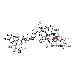 CC[C@H](C)[C@H](C[C@H](O)CC(=O)N[C@H]1C(C)O[C@@H](OC(=O)[C@]23CCC(C)(C)CC2C2=CCC4C5(C)CC[C@H](O[C@@H]6OC[C@@H](O)[C@H](O[C@@H]7OC[C@@H](O)[C@H](O)C7O)C6O[C@@H]6OC(CO)[C@H](O)[C@H](O)C6O)[C@](C)(C=O)[C@@H]5CC[C@]4(C)[C@]2(C)CC3O)C(O[C@@H]2OC(C)[C@H](O[C@@H]3OC[C@@H](O)C(O[C@@H]4OC[C@@](O)(CO)C4O)C3O)C(O)C2O)C1O)OC(=O)C[C@@H](O)C[C@H](O[C@@H]1O[C@@H](CO)C(O)C1O)[C@@H](C)CC